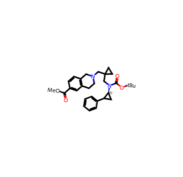 COC(=O)c1ccc2c(c1)CCN(CC1(CN(C(=O)OC(C)(C)C)[C@H]3CC3c3ccccc3)CC1)C2